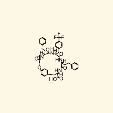 O=C1COc2ccc(cc2)C[C@@H](C(=O)O)NC(=O)[C@@H](CCc2ccccc2)NC(=O)[C@H](Cc2ccc(C(F)(F)F)cc2)NC(=O)[C@@H](CCc2ccccc2)N1